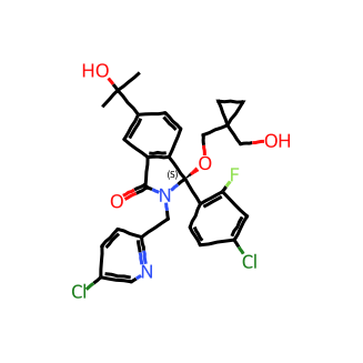 CC(C)(O)c1ccc2c(c1)C(=O)N(Cc1ccc(Cl)cn1)[C@@]2(OCC1(CO)CC1)c1ccc(Cl)cc1F